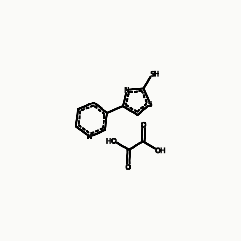 O=C(O)C(=O)O.Sc1nc(-c2cccnc2)cs1